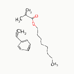 C=C(C)C(=O)OCCCCCCCC.C=Cc1ccccc1